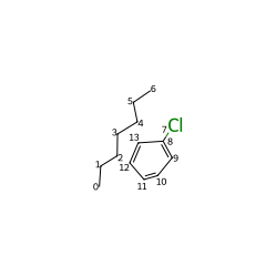 CCCCCCC.Clc1ccccc1